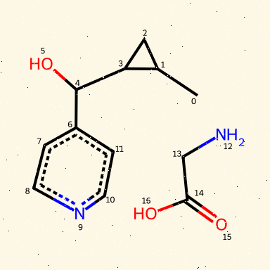 CC1CC1C(O)c1ccncc1.NCC(=O)O